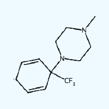 CN1CCN(C2(C(F)(F)F)C=C[CH]C=C2)CC1